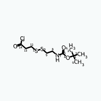 CC(C)(C)OC(=O)NCCSSCCC(=O)Cl